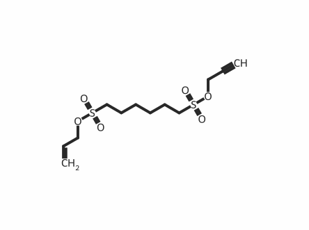 C#CCOS(=O)(=O)CCCCCCS(=O)(=O)OCC=C